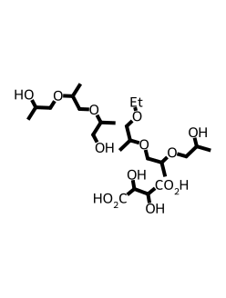 CC(O)COC(C)COC(C)CO.CCOCC(C)OCC(C)OCC(C)O.O=C(O)C(O)C(O)C(=O)O